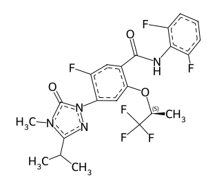 CC(C)c1nn(-c2cc(O[C@@H](C)C(F)(F)F)c(C(=O)Nc3c(F)cccc3F)cc2F)c(=O)n1C